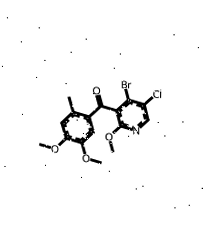 COc1cc(C)c(C(=O)c2c(OC)ncc(Cl)c2Br)cc1OC